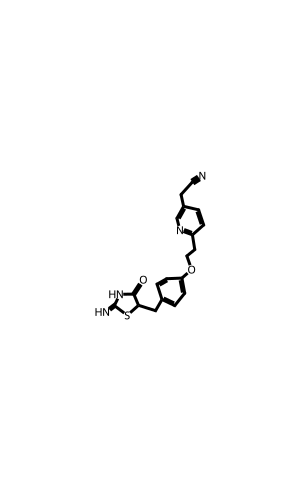 N#CCc1ccc(CCOc2ccc(CC3SC(=N)NC3=O)cc2)nc1